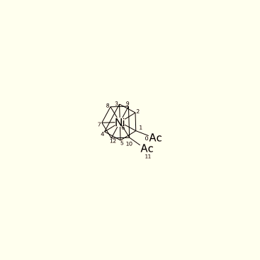 CC(=O)[C]12[CH]3[CH]4[CH]5[CH]1[Ni]45321678[CH]2[CH]1[CH]6[C]7(C(C)=O)[CH]28